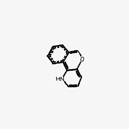 C1=CNC2=c3ccccc3=COC2=C1